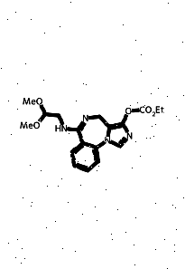 CCOC(=O)Oc1ncn2c1CN=C(NCC(OC)OC)c1ccccc1-2